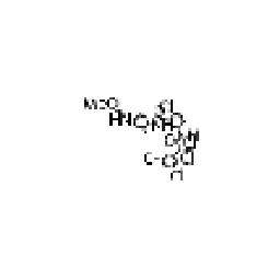 COCCNc1ccc(NC(=O)c2cc(NC(=O)[C@H](c3cc(Cl)cc(Cl)c3)C(C)(Cl)Cl)ccc2Cl)c(C)c1